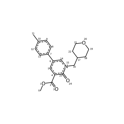 COC(=O)c1cc(-c2ccc(C)cc2)cn(CC2CCOCC2)c1=O